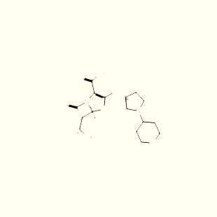 C[C@@H](O)[C@H]1C(=O)N2C(C(=O)O)=C(S[C@@H]3CCN(C4CCOCC4)C3)S[C@H]12